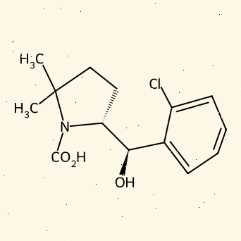 CC1(C)CC[C@H]([C@H](O)c2ccccc2Cl)N1C(=O)O